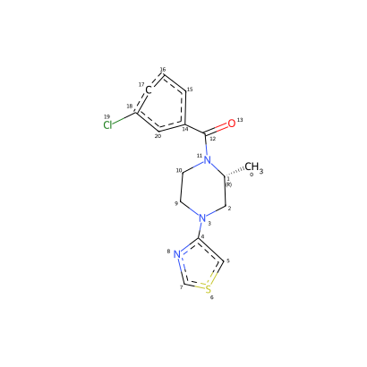 C[C@@H]1CN(c2cscn2)CCN1C(=O)c1cccc(Cl)c1